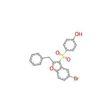 O=S(=O)(c1ccc(O)cc1)c1c(Cc2ccccc2)oc2ccc(Br)cc12